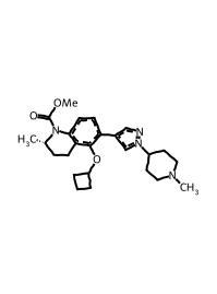 COC(=O)N1c2ccc(-c3cnn(C4CCN(C)CC4)c3)c(OC3CCC3)c2CC[C@@H]1C